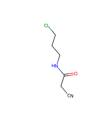 N#CCC(=O)NCCCCl